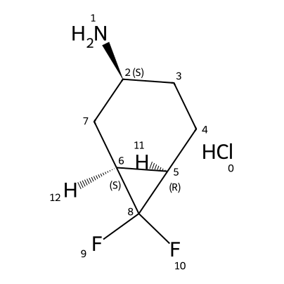 Cl.N[C@H]1CC[C@@H]2[C@H](C1)C2(F)F